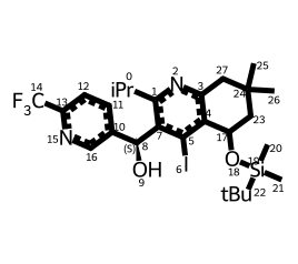 CC(C)c1nc2c(c(I)c1[C@@H](O)c1ccc(C(F)(F)F)nc1)C(O[Si](C)(C)C(C)(C)C)CC(C)(C)C2